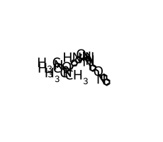 CN(C)CCOC(Cc1ccc2[nH]c(=O)c(-c3nnn(Cc4cccc(OCc5ccc6ccccc6n5)c4)n3)cc2c1)N(C)C